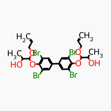 C=CCOC(Oc1c(Br)cc(-c2cc(Br)c(OC(OCC=C)C(C)O)c(Br)c2)cc1Br)C(C)O